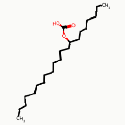 CCCCCCCCCCCCCC(CCCCCCC)OC(=O)O